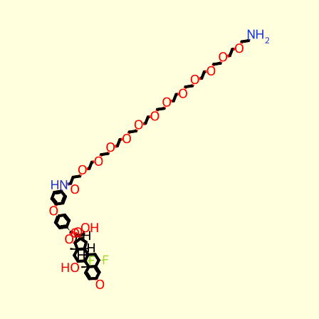 C[C@]12C=CC(=O)C=C1[C@@H](F)C[C@H]1[C@@H]3C[C@H]4O[C@@H](c5ccc(Oc6ccc(NC(=O)CCOCCOCCOCCOCCOCCOCCOCCOCCOCCOCCOCCOCCN)cc6)cc5)O[C@@]4(C(=O)CO)[C@@]3(C)C[C@H](O)[C@@]12F